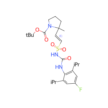 CC(C)c1cc(F)cc(C(C)C)c1NC(=O)NS(=O)(=O)/C=C/C1(C)CCCN1C(=O)OC(C)(C)C